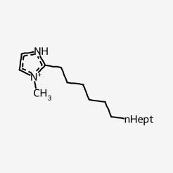 CCCCCCCCCCCCCc1[nH]cc[n+]1C